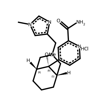 CO[C@@]1(c2ccnc(C(N)=O)c2)[C@@H]2CCC[C@H]1CN(Cc1cn(C)cn1)C2.Cl